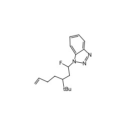 C=CCCC(CC(F)n1nnc2ccccc21)C(C)(C)C